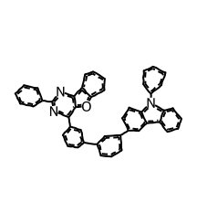 c1ccc(-c2nc(-c3cccc(-c4cccc(-c5ccc6c(c5)c5ccccc5n6-c5ccccc5)c4)c3)c3oc4ccccc4c3n2)cc1